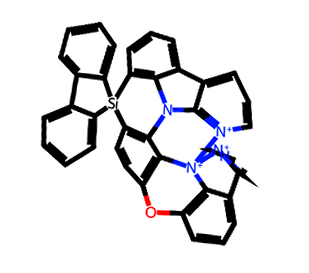 c1ccc2c(c1)-c1ccccc1[Si]21c2ccc3c4c2-n2c5c1cccc5c1ccc[n+](c12)[N+]41c2c(cccc2-c2cncc[n+]21)O3